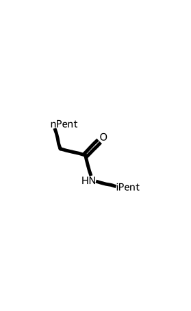 [CH2]CCC([CH2])NC(=O)CCCCCC